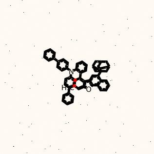 CC1C=c2oc3c(cc(C45CC6CC(CC(C6)C4)C5)c4ccccc43)c2=C(c2ccccc2N(c2ccc(-c3ccccc3)cc2)c2ccc(-c3ccccc3)cc2)C1